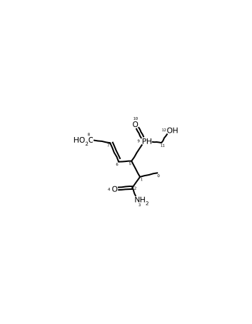 CC(C(N)=O)C(C=CC(=O)O)[PH](=O)CO